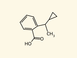 CC(c1ccccc1C(=O)O)C1CC1